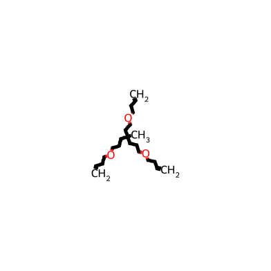 C=CCCOCCCC(C)(CCCOCCC=C)CCOCCC=C